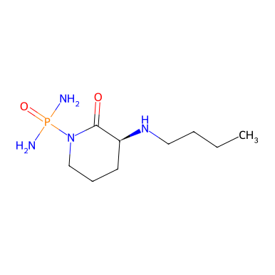 CCCCN[C@H]1CCCN(P(N)(N)=O)C1=O